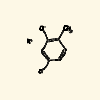 Cc1ccc(Cl)cc1[O-].[K+]